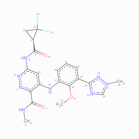 CNC(=O)c1nnc(NC(=O)[C@H]2CC2(F)F)cc1Nc1cccc(-c2ncn(C)n2)c1OC